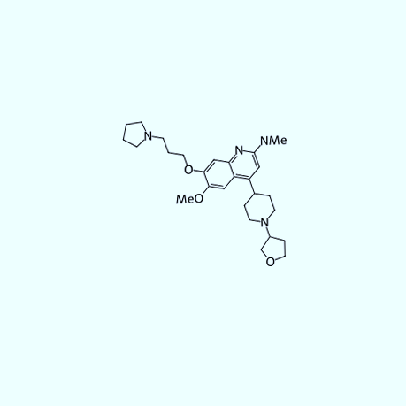 CNc1cc(C2CCN(C3CCOC3)CC2)c2cc(OC)c(OCCCN3CCCC3)cc2n1